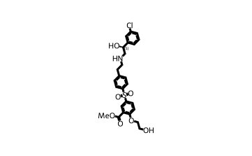 COC(=O)c1cc(S(=O)(=O)c2ccc(CCNC[C@@H](O)c3cccc(Cl)c3)cc2)ccc1OCCO